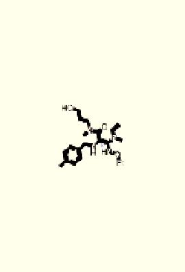 C=CN(C)/C(NOCC)=C(/NCc1ccc(C)cc1)C(=O)N(C)CCCO